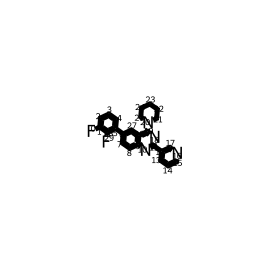 Fc1cccc(-c2ccc3nc(-c4cccnc4)nc(N4CCCCC4)c3c2)c1F